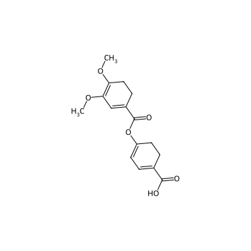 COC1=C(OC)CCC(C(=O)OC2=CC=C(C(=O)O)CC2)=C1